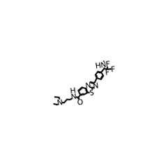 CCN(CC)CCCNC(=O)c1ccc2c(c1)sc1nc(-c3ccc(C(NC)C(F)(F)F)cc3)cn12